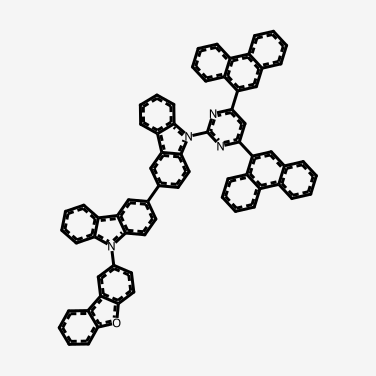 c1ccc2c(c1)cc(-c1cc(-c3cc4ccccc4c4ccccc34)nc(-n3c4ccccc4c4cc(-c5ccc6c(c5)c5ccccc5n6-c5ccc6oc7ccccc7c6c5)ccc43)n1)c1ccccc12